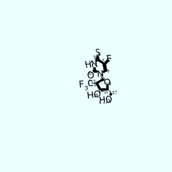 O=c1[nH]c(=S)c(F)cn1[C@@H]1O[C@H](CO)C(O)[C@@H]1C(F)(F)F